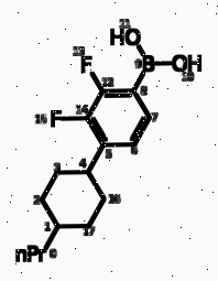 CCCC1CCC(c2ccc(B(O)O)c(F)c2F)CC1